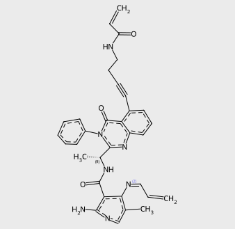 C=C/C=N\c1c(C)cnc(N)c1C(=O)N[C@H](C)c1nc2cccc(C#CCCNC(=O)C=C)c2c(=O)n1-c1ccccc1